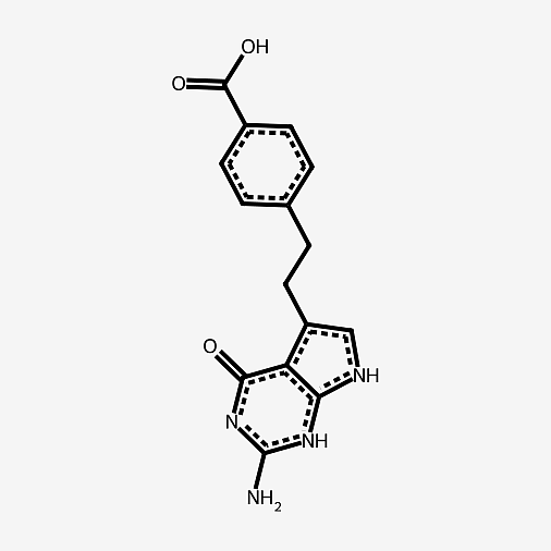 Nc1nc(=O)c2c(CCc3ccc(C(=O)O)cc3)c[nH]c2[nH]1